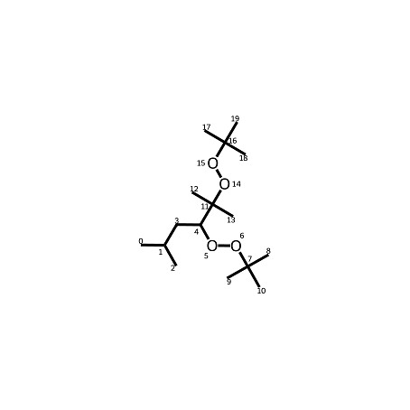 CC(C)CC(OOC(C)(C)C)C(C)(C)OOC(C)(C)C